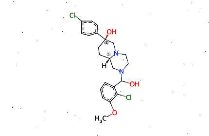 COc1cccc(C(O)N2CCN3C[C@@](O)(c4ccc(Cl)cc4)CC[C@H]3C2)c1Cl